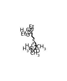 CCO[Si](C)(CCCSCC(C)(C)C(=O)N(C)C)OCC